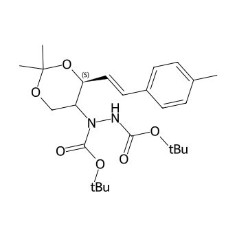 Cc1ccc(C=C[C@@H]2OC(C)(C)OCC2N(NC(=O)OC(C)(C)C)C(=O)OC(C)(C)C)cc1